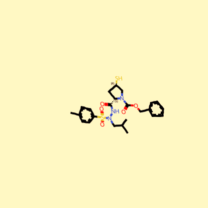 Cc1ccc(S(=O)(=O)N(CC(C)C)NC(=O)[C@@H]2C[C@@H](S)CN2C(=O)OCc2ccccc2)cc1